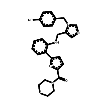 N#Cc1ccc(Cn2cncc2CNc2ccccc2-c2ccc(C(=O)N3CCSCC3)o2)cc1